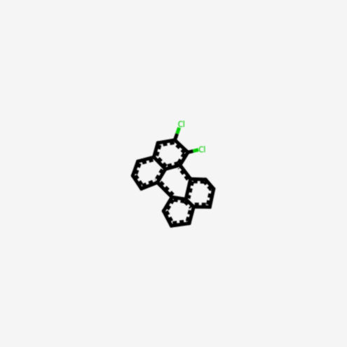 Clc1cc2cccc3c4cccc5cccc(c(c1Cl)c23)c54